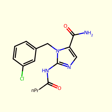 CCCC(=O)Nc1ncc(C(N)=O)n1Cc1cccc(Cl)c1